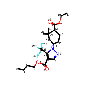 CCCCOC(=O)c1cnn([C@H]2CC[C@H](C(=O)OCC)C(C)(C)C2)c1C(F)(F)F